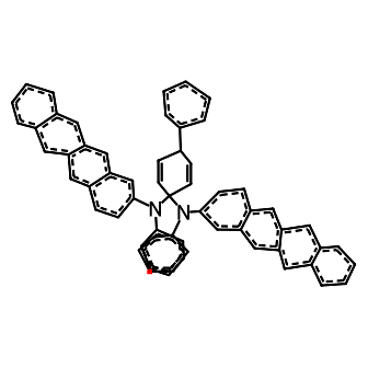 C1=CC(N(c2ccccc2)c2ccc3cc4cc5ccccc5cc4cc3c2)(N(c2ccccc2)c2ccc3cc4cc5ccccc5cc4cc3c2)C=CC1c1ccccc1